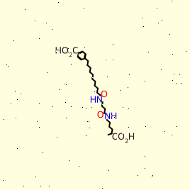 C[C@@H](CCCCNC(=O)CCCNC(=O)CCCCCCCCCCc1ccc(C(=O)O)cc1)C(=O)O